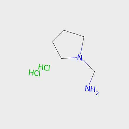 Cl.Cl.NCN1CCCC1